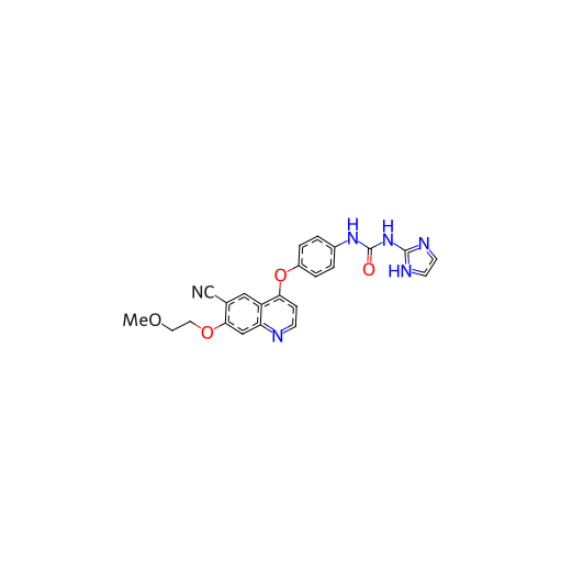 COCCOc1cc2nccc(Oc3ccc(NC(=O)Nc4ncc[nH]4)cc3)c2cc1C#N